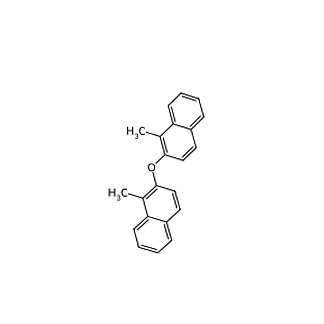 Cc1c(Oc2ccc3ccccc3c2C)ccc2ccccc12